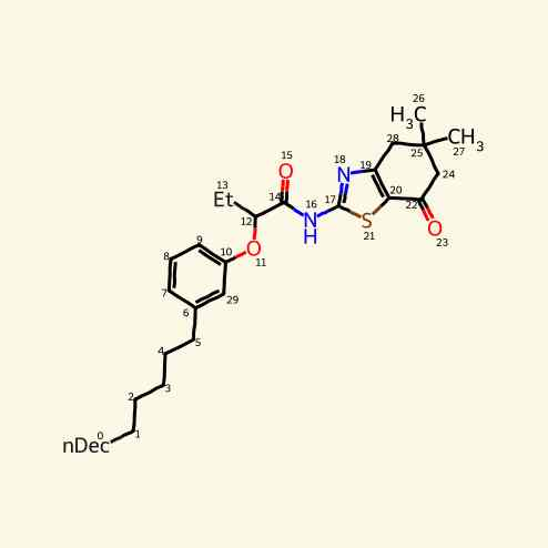 CCCCCCCCCCCCCCCc1cccc(OC(CC)C(=O)Nc2nc3c(s2)C(=O)CC(C)(C)C3)c1